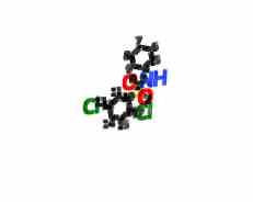 O=S(=O)(Nc1[c]cccc1)c1cc(Cl)ccc1Cl